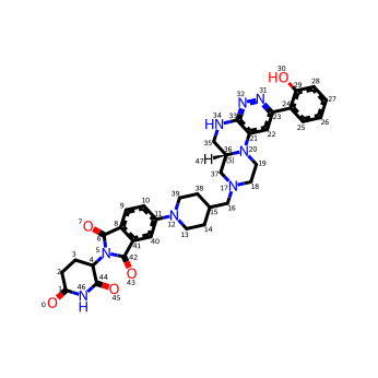 O=C1CCC(N2C(=O)c3ccc(N4CCC(CN5CCN6c7cc(-c8ccccc8O)nnc7NC[C@H]6C5)CC4)cc3C2=O)C(=O)N1